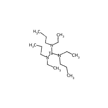 CCC[N](CC)[Ta]([N](CC)CCC)[N](CC)CCC